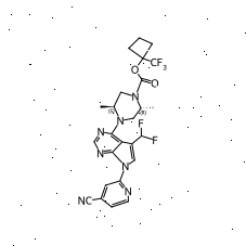 C[C@@H]1CN(c2ncnc3c2c(C(F)F)cn3-c2cc(C#N)ccn2)[C@@H](C)CN1C(=O)OC1(C(F)(F)F)CCC1